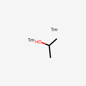 CC(C)O.[Tm].[Tm]